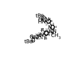 Cc1nc2ccc(-c3ccnc(NC(=O)OC(C)(C)C)c3)nc2n1-c1cc(F)c(N2CC3(CN(C(=O)OC(C)(C)C)C3)C2)c(F)c1